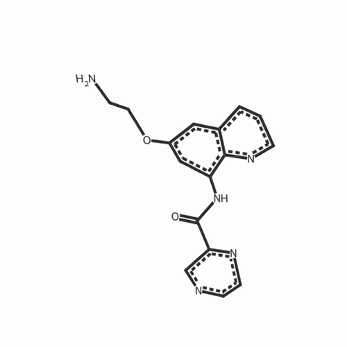 NCCOc1cc(NC(=O)c2cnccn2)c2ncccc2c1